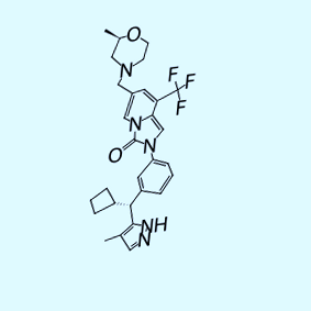 Cc1cn[nH]c1[C@@H](c1cccc(-n2cc3c(C(F)(F)F)cc(CN4CCO[C@H](C)C4)cn3c2=O)c1)C1CCC1